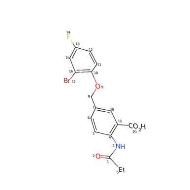 CCC(=O)Nc1ccc(COc2ccc(F)cc2Br)cc1C(=O)O